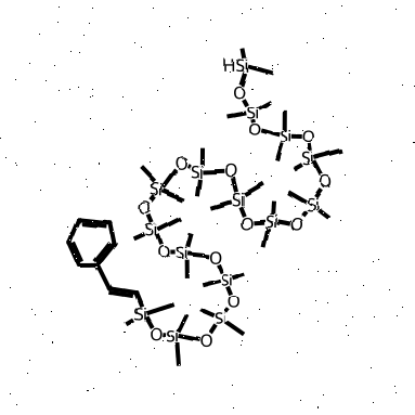 C[SiH](C)O[Si](C)(C)O[Si](C)(C)O[Si](C)(C)O[Si](C)(C)O[Si](C)(C)O[Si](C)(C)O[Si](C)(C)O[Si](C)(C)O[Si](C)(C)O[Si](C)(C)O[Si](C)(C)O[Si](C)(C)O[Si](C)(C)O[Si](C)(C)C=Cc1ccccc1